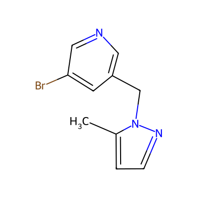 Cc1ccnn1Cc1cncc(Br)c1